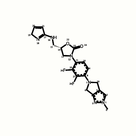 Cn1cc2c(n1)CN(c1ccc(N3C[C@H](CNC4=NCC=C4)OC3=O)c(F)c1F)C2